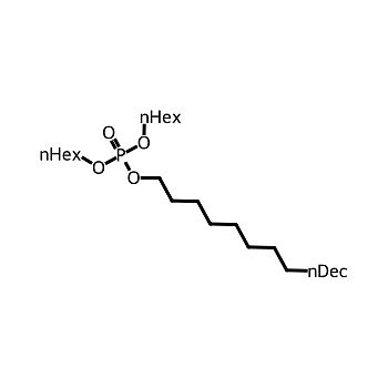 CCCCCCCCCCCCCCCCCCOP(=O)(OCCCCCC)OCCCCCC